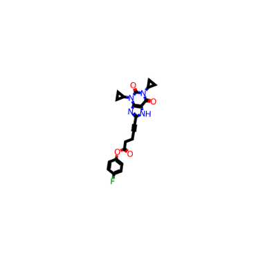 O=C(CCC#Cc1nc2c([nH]1)c(=O)n(C1CC1)c(=O)n2C1CC1)Oc1ccc(F)cc1